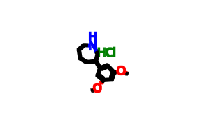 COc1cc(OC)cc(C2CCCCNC2)c1.Cl